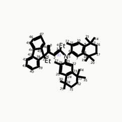 C=C(/C=C(\CC)N(c1cc2c(cc1C)C(C)(C)CCC2(C)C)c1cc2c(cc1C)C(C)(C)CCC2(C)C)C1(CC)c2ccccc2-c2ccccc21